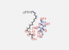 CCCCC/C=C\C/C=C\CCCCCCCC(=O)OC(=O)C(O)CO.O=C1C(N(CO)C(=O)NCO)N(CO)C(=O)N1CO